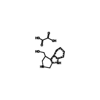 O=C(O)C(=O)O.OCC1CNCc2[nH]c3ccccc3c21